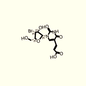 O=C(O)C=Cc1cn([C@@H]2O[C@H](CO)[C@H](Br)[C@H]2O)c(=O)[nH]c1=O